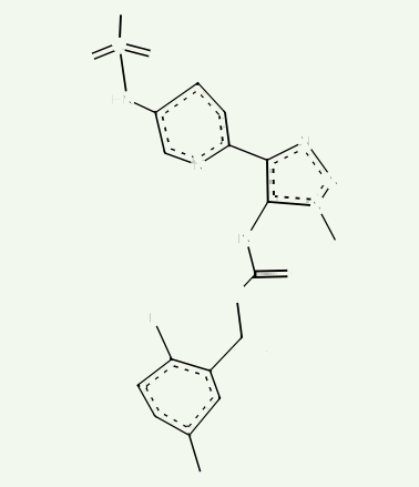 Cc1ccc(F)c([C@@H](C)OC(=O)Nc2c(-c3ccc(NS(C)(=O)=O)cn3)nnn2C)c1